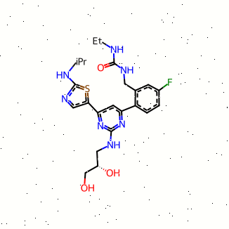 CCNC(=O)NCc1cc(F)ccc1-c1cc(-c2cnc(NC(C)C)s2)nc(NC[C@H](O)CO)n1